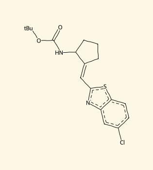 CC(C)(C)OC(=O)NC1CCC/C1=C\c1nc2cc(Cl)ccc2s1